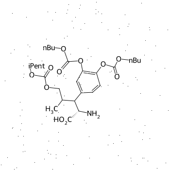 CCCCOC(=O)Oc1ccc(C(C(C)COC(=O)OC(C)CCC)[C@H](N)C(=O)O)cc1OC(=O)OCCCC